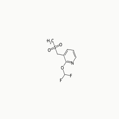 [CH2]S(=O)(=O)Cc1cccnc1OC(F)F